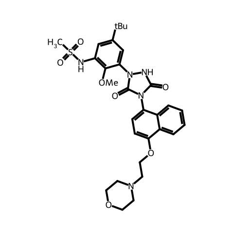 COc1c(NS(C)(=O)=O)cc(C(C)(C)C)cc1-n1[nH]c(=O)n(-c2ccc(OCCN3CCOCC3)c3ccccc23)c1=O